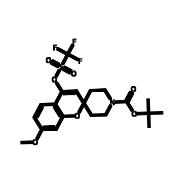 COc1ccc2c(c1)OC1(C=C2OS(=O)(=O)C(F)(F)F)CCN(C(=O)OC(C)(C)C)CC1